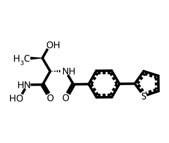 C[C@@H](O)[C@H](NC(=O)c1ccc(-c2cccs2)cc1)C(=O)NO